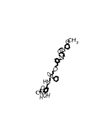 COC1CCCC(N2CCOC3(CCN(Cc4cccc(CCOCCC(=O)N(CCNCCc5ccc(O)c6c5OCC(=O)N6)C5CCCCC5)c4)CC3)C2)C1